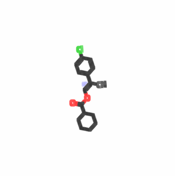 N#C/C(=C\OC(=O)C1CCCCC1)c1ccc(Cl)cc1